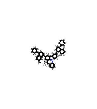 CC1(C)c2ccccc2-n2c3ccc(-c4ccc(C5=CC=CCC5)c5ccccc45)cc3c3cc(-c4ccc(-c5ccccc5)c5ccccc45)cc1c32